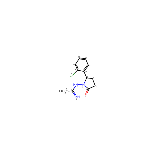 CCOC(=O)C(=N)NN1C(=O)CCC1c1ccccc1Cl